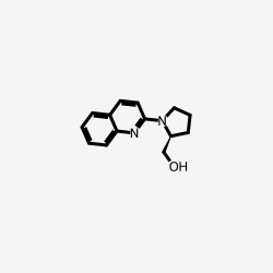 OC[C@@H]1CCCN1c1ccc2ccccc2n1